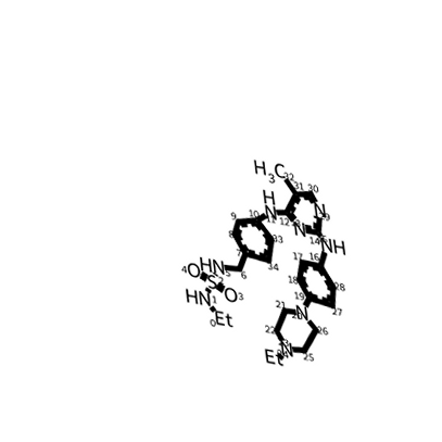 CCNS(=O)(=O)NCc1ccc(Nc2nc(Nc3ccc(N4CCN(CC)CC4)cc3)ncc2C)cc1